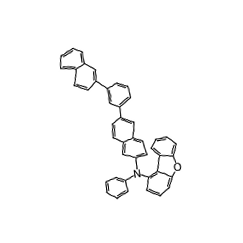 c1ccc(N(c2ccc3cc(-c4cccc(-c5ccc6ccccc6c5)c4)ccc3c2)c2cccc3oc4ccccc4c23)cc1